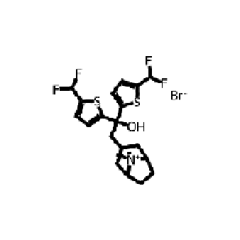 C[N+]1(C)C2CCC1CC(CC(O)(c1ccc(C(F)F)s1)c1ccc(C(F)F)s1)C2.[Br-]